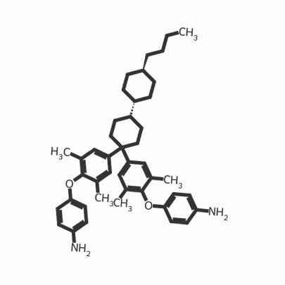 CCCC[C@H]1CC[C@H](C2CCC(c3cc(C)c(Oc4ccc(N)cc4)c(C)c3)(c3cc(C)c(Oc4ccc(N)cc4)c(C)c3)CC2)CC1